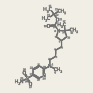 CN(CCCCC1CN(C(=O)OC(C)(C)C)C(C)(C)C1)c1ccc(S(N)(=O)=O)cn1